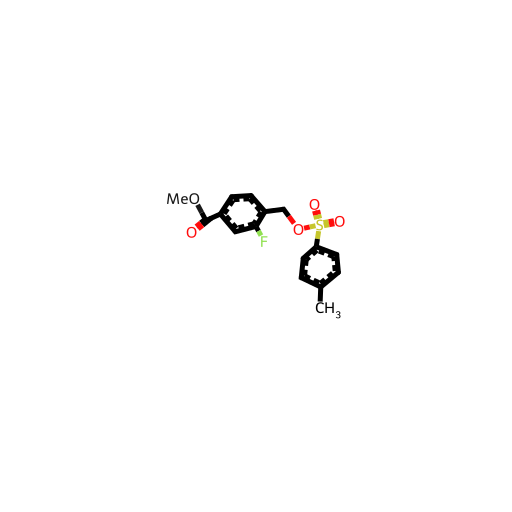 COC(=O)c1ccc(COS(=O)(=O)c2ccc(C)cc2)c(F)c1